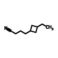 CCC1CC(CCCC#N)C1